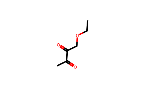 CCOCC(=O)C(C)=O